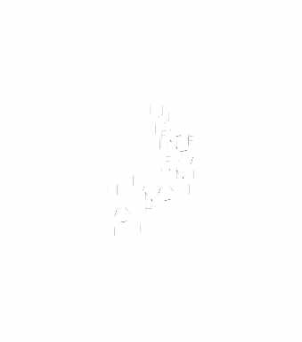 O=C(Nc1ccc(F)c(NC(=O)C(F)(F)C(F)(F)C(F)(F)F)c1F)c1cc(NC(=O)C2[C@H](c3ccc(F)c(Cl)c3)C2(Cl)Cl)ccc1Cl